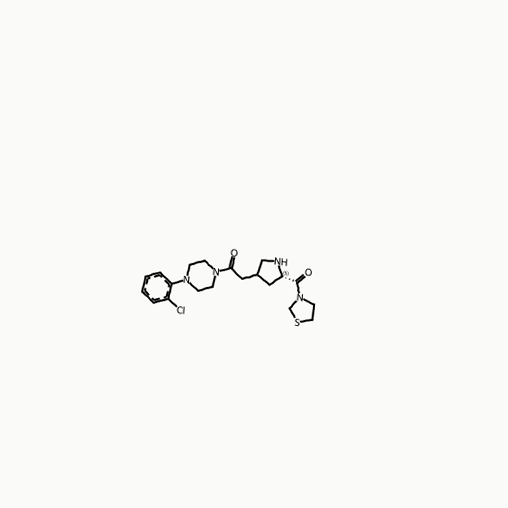 O=C(CC1CN[C@H](C(=O)N2CCSC2)C1)N1CCN(c2ccccc2Cl)CC1